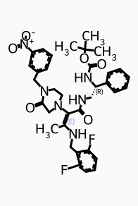 C/C(NCc1c(F)cccc1F)=C(/C(=O)NC[C@H](NC(=O)OC(C)(C)C)c1ccccc1)N1CCN(Cc2cccc([N+](=O)[O-])c2)C(=O)C1